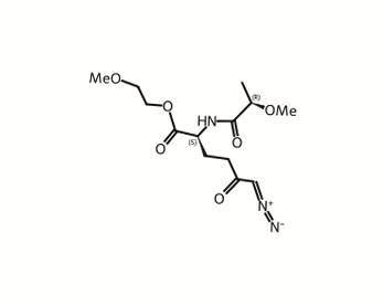 COCCOC(=O)[C@H](CCC(=O)C=[N+]=[N-])NC(=O)[C@@H](C)OC